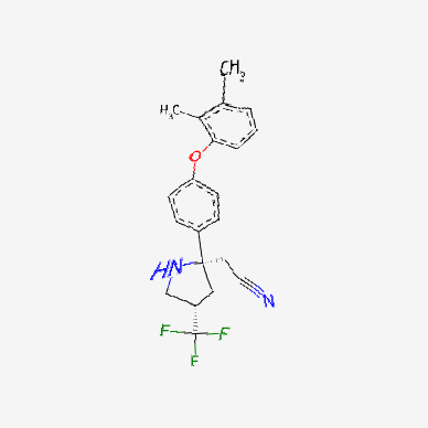 Cc1cccc(Oc2ccc([C@@]3(CC#N)C[C@H](C(F)(F)F)CN3)cc2)c1C